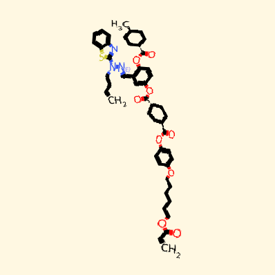 C=CCCN(/N=C/c1cc(OC(=O)[C@H]2CC[C@H](C(=O)Oc3ccc(OCCCCCCOC(=O)C=C)cc3)CC2)ccc1OC(=O)[C@H]1CC[C@H](C)CC1)c1nc2ccccc2s1